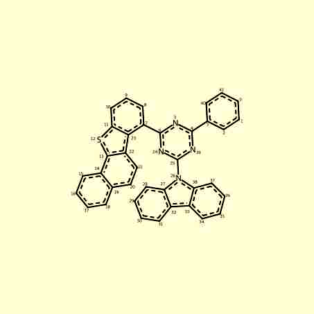 c1ccc(-c2nc(-c3cccc4sc5c6ccccc6ccc5c34)nc(-n3c4ccccc4c4ccccc43)n2)cc1